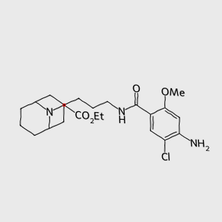 CCOC(=O)CN1C2CCCC1CC(CCCNC(=O)c1cc(Cl)c(N)cc1OC)C2